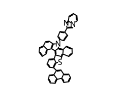 c1ccc2c(c1)cc(-c1cccc3c1sc1c4ccccc4c4c(c31)c1c3ccccc3ccc1n4-c1ccc(-c3cn4ccccc4n3)cc1)c1ccccc12